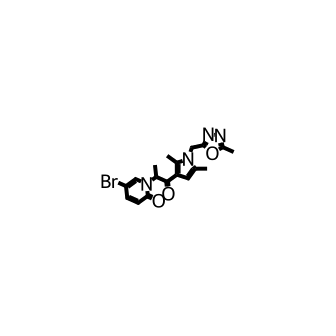 Cc1nnc(Cn2c(C)cc(C(=O)C(C)n3cc(Br)ccc3=O)c2C)o1